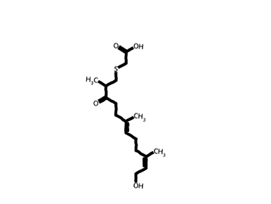 C/C(=C/CO)CC/C=C(\C)CCC(=O)C(C)CSCC(=O)O